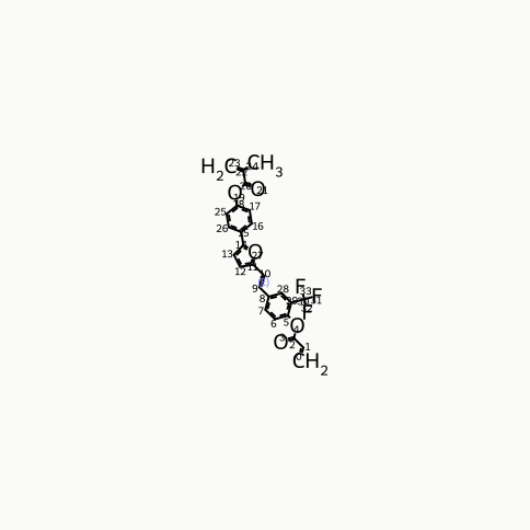 C=CC(=O)Oc1ccc(/C=C/c2ccc(-c3ccc(OC(=O)C(=C)C)cc3)o2)cc1C(F)(F)F